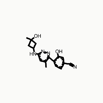 Cc1cc(NC2CC(C)(O)C2)nnc1-c1ccc(C#N)cc1O